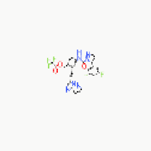 O=C(Nc1ccc(COC(=O)C(F)(F)F)c(C#Cc2cnc3cccnn23)c1)N1N=CCC1c1cc(F)cc(F)c1